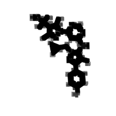 Cc1nn(-c2cc(Nc3c(C)c(-c4ccc(F)cc4)nn3CC3CC3)ncn2)c(C)c1C(C)(C)O